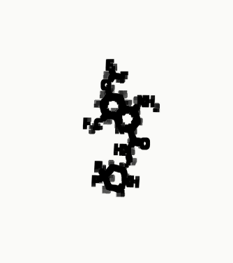 Nc1cc(C(=O)NC[C@H]2CC(F)(F)CCN2)nc2c(C(F)(F)F)cc(OC(F)F)cc12